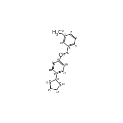 Cc1cccc(COc2ccc(C3SCCS3)cc2)c1